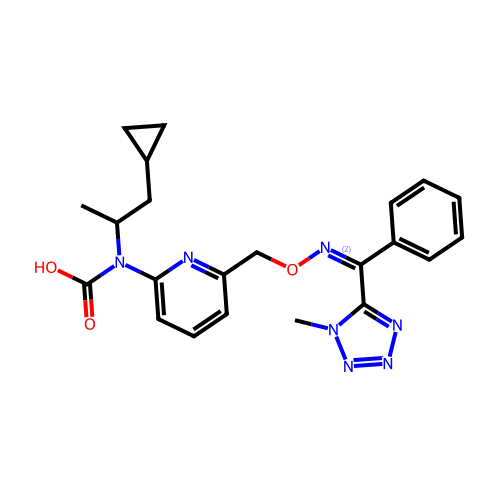 CC(CC1CC1)N(C(=O)O)c1cccc(CO/N=C(/c2ccccc2)c2nnnn2C)n1